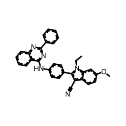 CCn1c(-c2ccc(Nc3nc(-c4ccccc4)nc4ccccc34)cc2)c(C#N)c2ccc(OC)cc21